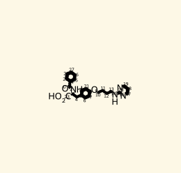 O=C(N[C@@H](Cc1ccc(OCCCCNc2ncccn2)cc1)C(=O)O)c1ccccc1